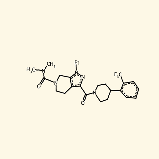 CCn1nc(C(=O)N2CCC(c3ccccc3C(F)(F)F)CC2)c2c1CN(C(=O)N(C)C)CC2